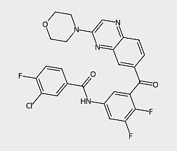 O=C(Nc1cc(F)c(F)c(C(=O)c2ccc3ncc(N4CCOCC4)nc3c2)c1)c1ccc(F)c(Cl)c1